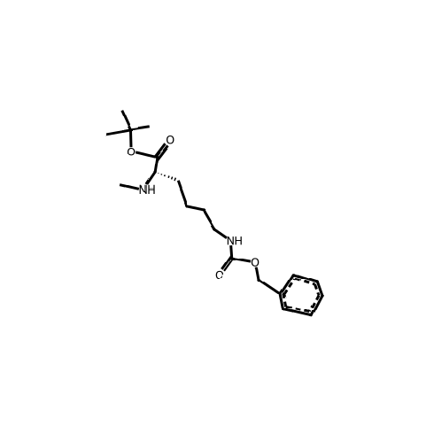 CN[C@@H](CCCCNC(=O)OCc1ccccc1)C(=O)OC(C)(C)C